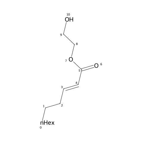 CCCCCCCCC=CC(=O)OCCO